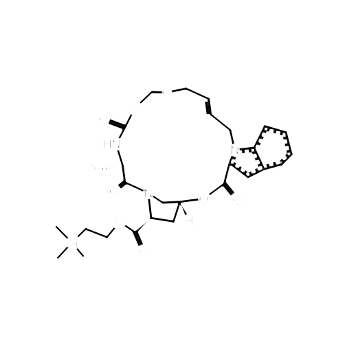 CC(C)[C@@H]1NC(=O)OCCC/C=C/Cn2c(cc3ccccc32)C(=O)O[C@@H]2C[C@@H](C(=O)OCC[Si](C)(C)C)N(C2)C1=O